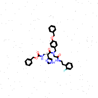 O=C(CN(Cc1ccc(OCc2ccccc2)cc1)C(=O)[C@@H](CNC(=O)OCc1ccccc1)c1c[nH]cn1)NCCc1ccccc1F